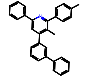 Cc1ccc(-c2nc(-c3ccccc3)cc(-c3cccc(-c4ccccc4)c3)c2C)cc1